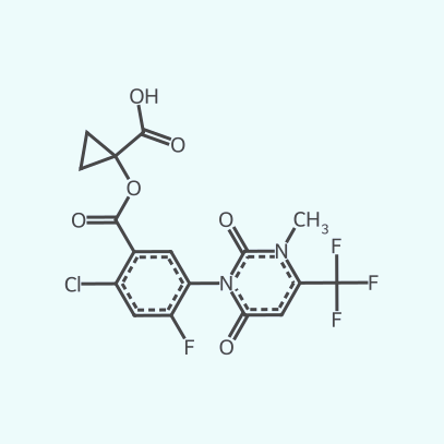 Cn1c(C(F)(F)F)cc(=O)n(-c2cc(C(=O)OC3(C(=O)O)CC3)c(Cl)cc2F)c1=O